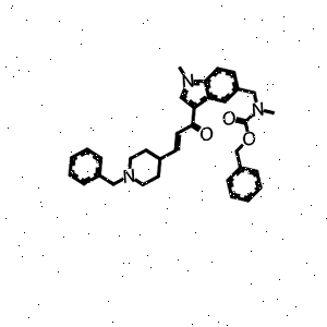 CN(Cc1ccc2c(c1)c(C(=O)C=CC1CCN(Cc3ccccc3)CC1)cn2C)C(=O)OCc1ccccc1